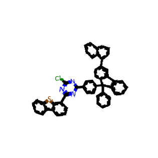 Clc1nc(-c2ccc(C3(c4ccccc4)c4ccccc4-c4cc(-c5cccc6ccccc56)ccc43)cc2)nc(-c2cccc3c2sc2ccccc23)n1